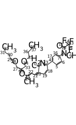 C=c1nc(-c2ccc(N(C)C(=O)C(F)(F)F)cc2)cc/c1=C/C=C(\C)OC(COCCCC)COCCCC